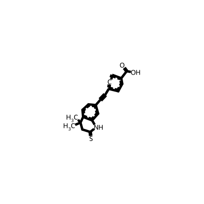 CC1(C)CC(=S)Nc2cc(C#Cc3ccc(C(=O)O)cc3)ccc21